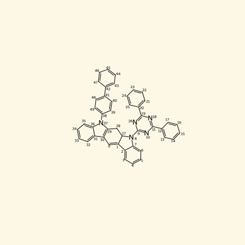 C1=C2c3ccccc3N(c3nc(-c4ccccc4)nc(-c4ccccc4)n3)C2Cc2c1c1ccccc1n2-c1ccc(-c2ccccc2)cc1